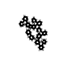 C1=CC2Sc3ccc(-n4c5ccc(-c6ccccc6-c6ccccn6)cc5c5cc(-c6ccccc6-c6ccccn6)ccc54)cc3C2C=C1n1c2ccc(-c3ccccc3-c3ccccn3)cc2c2cc(-c3ccccc3-c3ccccn3)ccc21